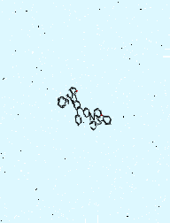 c1ccc(-c2cc3c(cc2-c2ccc(N(c4ccccc4)c4cccc5c4sc4ccccc45)cc2)c2ccccc2n3-c2ccccc2)cc1